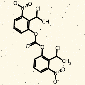 CC(Cl)c1c(OC(=O)Oc2cccc([N+](=O)[O-])c2C(C)Cl)cccc1[N+](=O)[O-]